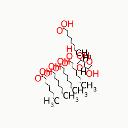 CCCCCCCC(=O)O.CCCCCCCC(=O)O.CCCCCCCC(=O)O.CCCCCCCC(=O)O.CCCCCCCC(=O)O.O[C@@H]1CO[C@H]2[C@@H]1OC[C@@H]2O